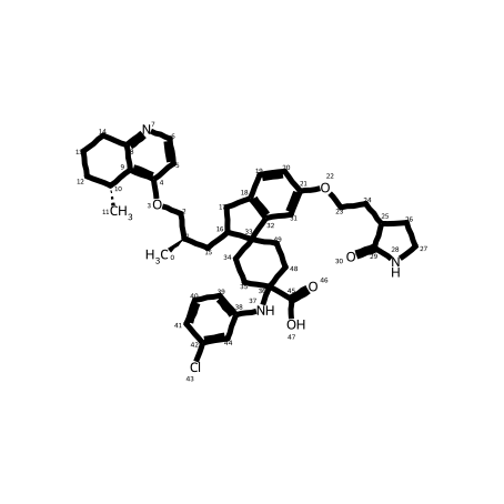 C[C@@H](COc1ccnc2c1[C@H](C)CCC2)CC1Cc2ccc(OCCC3CCNC3=O)cc2C12CCC(Nc1cccc(Cl)c1)(C(=O)O)CC2